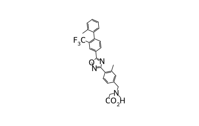 Cc1cc(CN(C)CC(=O)O)ccc1-c1noc(-c2ccc(-c3ccccc3C)c(C(F)(F)F)c2)n1